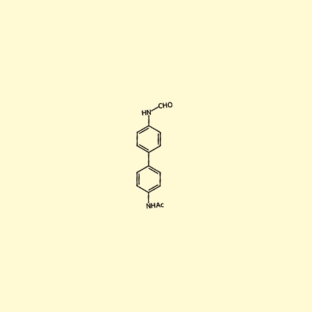 CC(=O)Nc1ccc(-c2ccc(NC=O)cc2)cc1